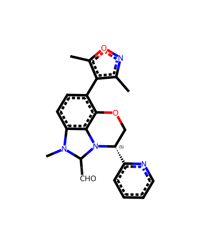 Cc1noc(C)c1-c1ccc2c3c1OC[C@H](c1ccccn1)N3C(C=O)N2C